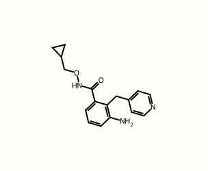 Nc1cccc(C(=O)NOCC2CC2)c1Cc1ccncc1